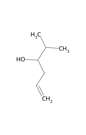 C=CCC(O)C(C)C